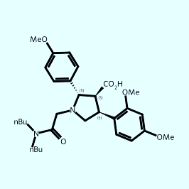 CCCCN(CCCC)C(=O)CN1C[C@H](c2ccc(OC)cc2OC)[C@H](C(=O)O)[C@H]1c1ccc(OC)cc1